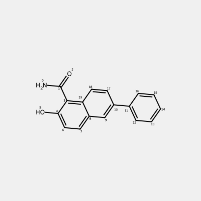 NC(=O)c1c(O)ccc2cc(-c3ccccc3)ccc12